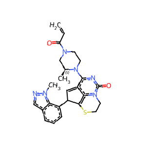 C=CC(=O)N1CCN(c2nc(=O)n3c4c2=CC(c2cccc5cnn(C)c25)C=4SCC3)[C@@H](C)C1